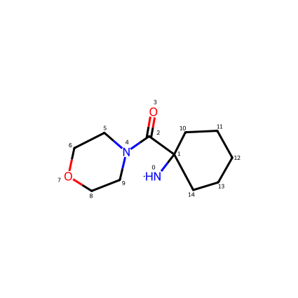 [NH]C1(C(=O)N2CCOCC2)CCCCC1